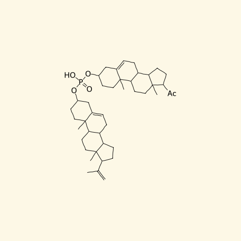 C=C(C)C1CCC2C3CC=C4CC(OP(=O)(O)OC5CCC6(C)C(=CCC7C6CCC6(C)C(C(C)=O)CCC76)C5)CCC4(C)C3CCC12C